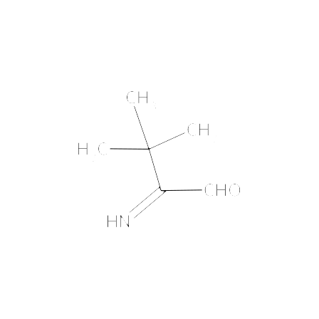 CC(C)(C)C(=N)C=O